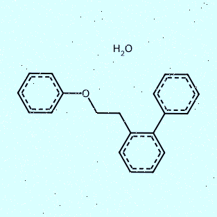 O.c1ccc(OCCc2ccccc2-c2ccccc2)cc1